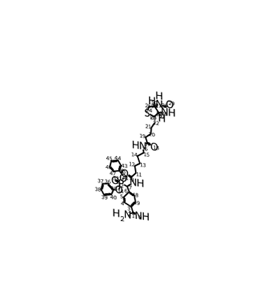 N=C(N)c1ccc(C(NC(=O)CCCCCNC(=O)CCCC[C@@H]2SC[C@@H]3NC(=O)N[C@@H]32)P(=O)(Oc2ccccc2)Oc2ccccc2)cc1